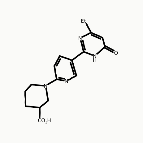 CCc1cc(=O)[nH]c(-c2ccc(N3CCCC(C(=O)O)C3)nc2)n1